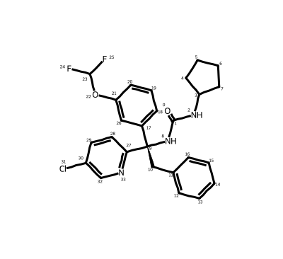 O=C(NC1CCCC1)N[C@@](Cc1ccccc1)(c1cccc(OC(F)F)c1)c1ccc(Cl)cn1